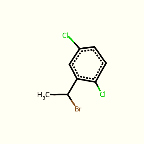 CC(Br)c1cc(Cl)ccc1Cl